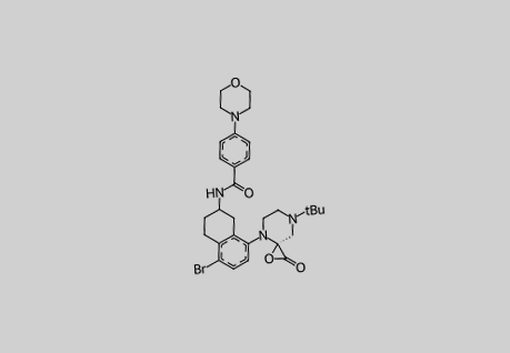 CC(C)(C)N1CCN(c2ccc(Br)c3c2CC(NC(=O)c2ccc(N4CCOCC4)cc2)CC3)[C@]2(C1)OC2=O